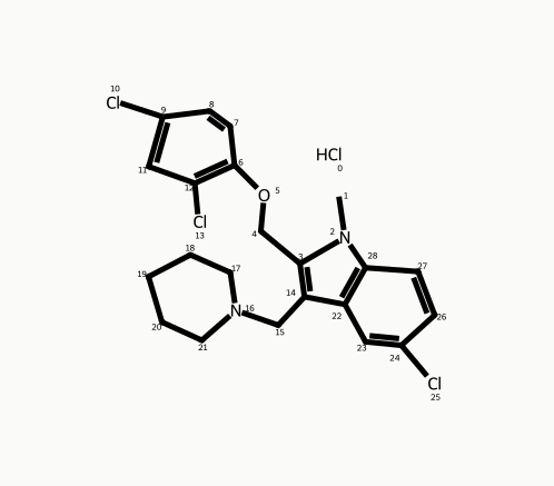 Cl.Cn1c(COc2ccc(Cl)cc2Cl)c(CN2CCCCC2)c2cc(Cl)ccc21